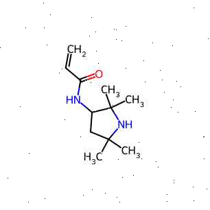 C=CC(=O)NC1CC(C)(C)NC1(C)C